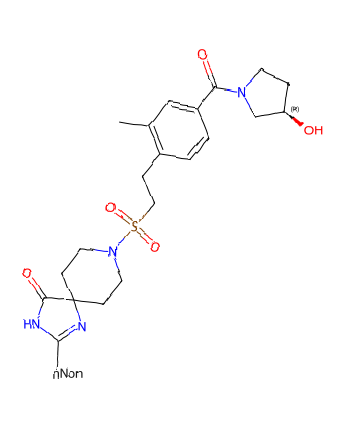 CCCCCCCCCC1=NC2(CCN(S(=O)(=O)CCc3ccc(C(=O)N4CC[C@@H](O)C4)cc3C)CC2)C(=O)N1